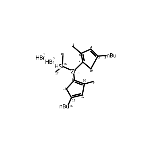 Br.Br.CCCCC1=CC(C)=[C]([Zr]([C]2=C(C)C=C(CCCC)C2)[SiH](C)C)C1